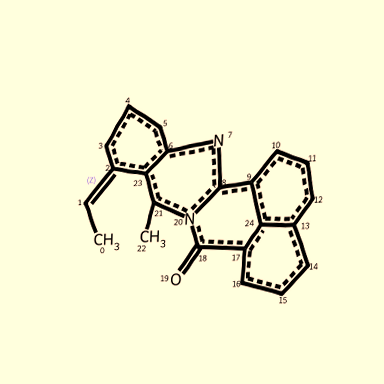 C/C=c1/cccc2nc3c4cccc5cccc(c(=O)n3c(C)c12)c54